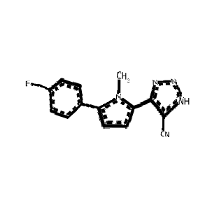 Cn1c(-c2ccc(F)cc2)ccc1-c1nn[nH]c1C#N